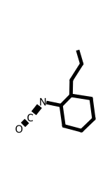 CCCC1CCCCC1N=C=O